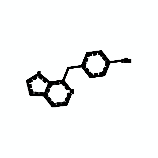 CCCCc1ccc(Cc2nccc3ccsc23)cc1